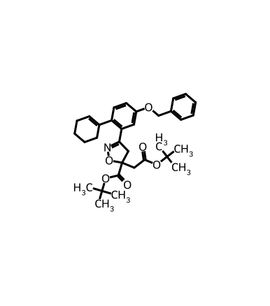 CC(C)(C)OC(=O)CC1(C(=O)OC(C)(C)C)CC(c2cc(OCc3ccccc3)ccc2C2=CCCCC2)=NO1